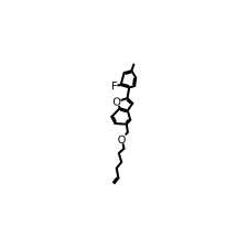 C=CCCCCOCc1ccc2oc(-c3ccc(C)cc3F)cc2c1